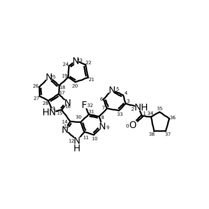 O=C(Nc1cncc(-c2ncc3[nH]nc(-c4nc5c(-c6cccnc6)nccc5[nH]4)c3c2F)c1)C1CCCC1